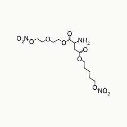 NC(CC(=O)OCCCCCO[N+](=O)[O-])C(=O)OCCOCCO[N+](=O)[O-]